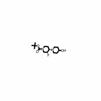 CC(C)(C)OC(=O)N1CC[C@@H](N2CCC(O)CC2)[C@H](F)C1